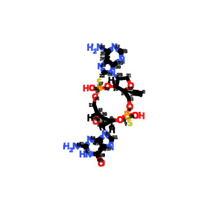 C#C[C@@]12COP(O)(=S)O[C@@H]3[C@@H](F)[C@@H](COP(O)(=S)O[C@H]1C(n1cnc4c(N)ncnc41)CO2)O[C@H]3n1cnc2c(=O)[nH]c(N)nc21